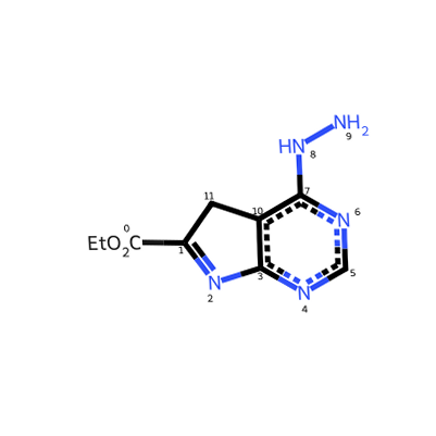 CCOC(=O)C1=Nc2ncnc(NN)c2C1